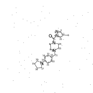 Cc1cnn(C(=O)N2CCN(Cc3ccc(N4CCCC4)cc3)CC2)c1